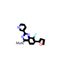 CNc1nc(-c2cccnc2)nc2c(F)c(-c3ccco3)ccc12